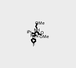 COCCCNc1cc(C(=O)OC)nc2c1c(C(C)C)nn2-c1ccc(F)cc1